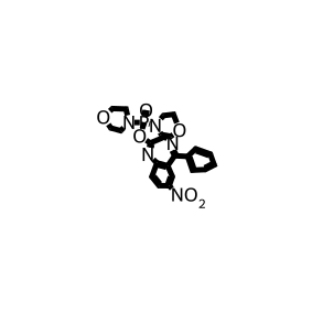 O=[N+]([O-])c1ccc2c(c1)C(c1ccccc1)=NCC(OP(=O)(N1CCOCC1)N1CCOCC1)=N2